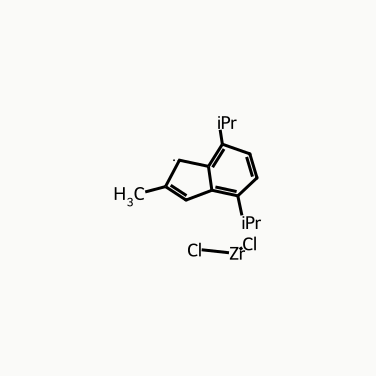 CC1=Cc2c(C(C)C)ccc(C(C)C)c2[CH]1.[Cl][Zr][Cl]